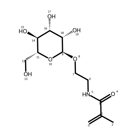 C=C(C)C(=O)NCCO[C@H]1O[C@H](CO)[C@@H](O)[C@H](O)[C@@H]1O